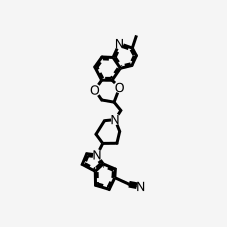 Cc1ccc2c3c(ccc2n1)OCC(CN1CCC(n2ccc4ccc(C#N)cc42)CC1)O3